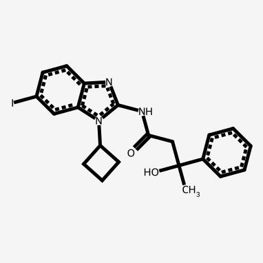 CC(O)(CC(=O)Nc1nc2ccc(I)cc2n1C1CCC1)c1ccccc1